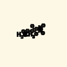 CC1(C)c2ccccc2-c2ccc(-c3ccc4c(-c5ccccc5)c5cc(-c6nc(-c7ccccc7)cc(-c7ccccc7)n6)ccc5c(-c5ccccc5)c4c3)cc21